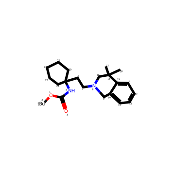 CC(C)(C)OC(=O)NC1(CCN2Cc3ccccc3C(C)(C)C2)CCCCC1